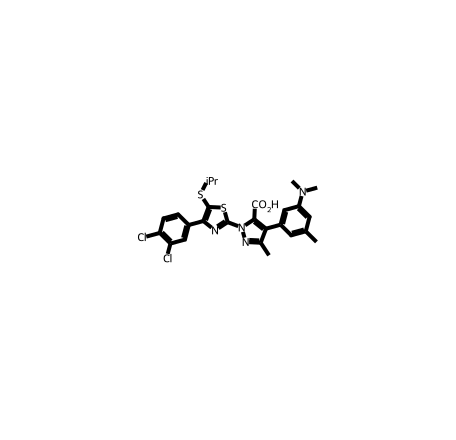 Cc1cc(-c2c(C)nn(-c3nc(-c4ccc(Cl)c(Cl)c4)c(SC(C)C)s3)c2C(=O)O)cc(N(C)C)c1